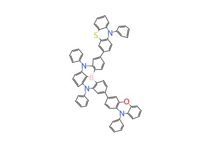 c1ccc(N2c3ccccc3Oc3cc(-c4ccc5c(c4)N(c4ccccc4)c4cccc6c4B5c4ccc(-c5ccc7c(c5)Sc5ccccc5N7c5ccccc5)cc4N6c4ccccc4)ccc32)cc1